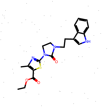 CCOC(=O)c1sc(N2CCN(CCc3c[nH]c4ccccc34)C2=O)nc1C